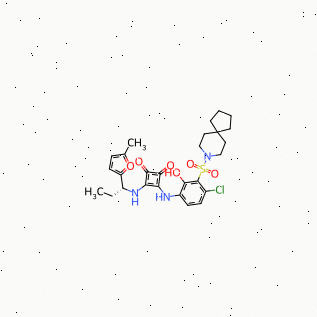 CC[C@@H](Nc1c(Nc2ccc(Cl)c(S(=O)(=O)N3CCC4(CCCC4)CC3)c2O)c(=O)c1=O)c1ccc(C)o1